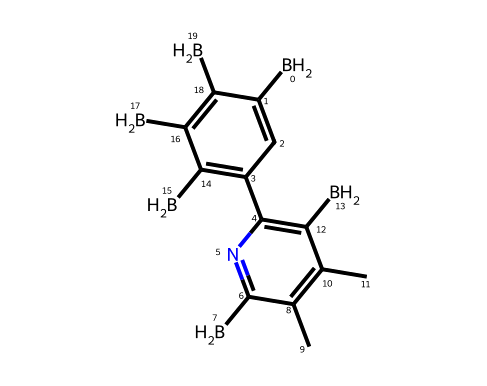 Bc1cc(-c2nc(B)c(C)c(C)c2B)c(B)c(B)c1B